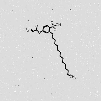 C=CC(=O)Oc1ccc(S(=O)(=O)O)c(CCCCCCCCCCCCCCC)c1